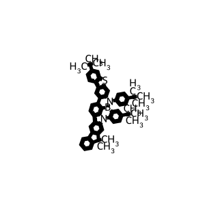 CC(C)(C)c1ccc(N2B3c4cc(C(C)(C)C)ccc4-n4c5cc6c(cc5c5ccc(c3c54)-c3cc4c(cc32)sc2cc(C(C)(C)C)ccc24)-c2ccccc2C6(C)C)cc1